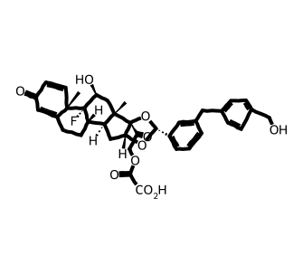 C[C@]12C=CC(=O)C=C1CC[C@H]1[C@@H]3C[C@H]4O[C@@H](c5cccc(Cc6ccc(CO)cc6)c5)O[C@@]4(C(=O)COC(=O)C(=O)O)[C@@]3(C)C[C@H](O)[C@@]12F